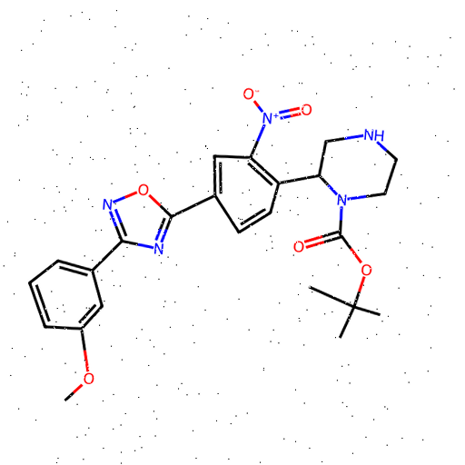 COc1cccc(-c2noc(-c3ccc(C4CNCCN4C(=O)OC(C)(C)C)c([N+](=O)[O-])c3)n2)c1